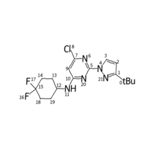 CC(C)(C)c1ccn(-c2nc(Cl)cc(NC3CCC(F)(F)CC3)n2)n1